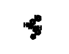 C1=CC(c2cccc3[nH]c(-c4n[nH]c5ccc(-c6ccccn6)cc45)cc23)=CC1